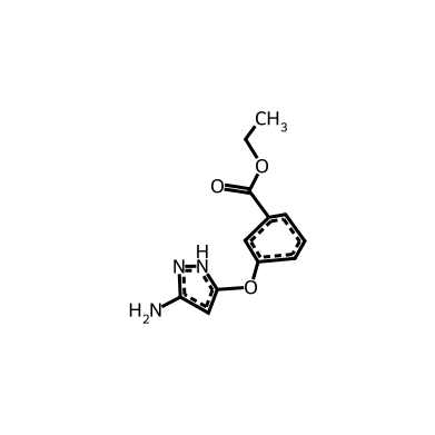 CCOC(=O)c1cccc(Oc2cc(N)n[nH]2)c1